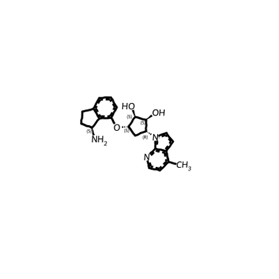 Cc1ccnc2c1ccn2[C@@H]1C[C@H](Oc2cccc3c2[C@@H](N)CC3)[C@@H](O)[C@H]1O